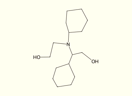 OCCN(C1CCCCC1)C(CO)C1CCCCC1